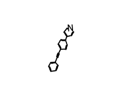 C(#Cc1ccc(-c2ccncc2)cc1)c1ccccc1